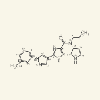 CCCN(C(=O)c1csc(-c2cnn(-c3cccc(C)c3)c2)n1)[C@@H]1CCNC1